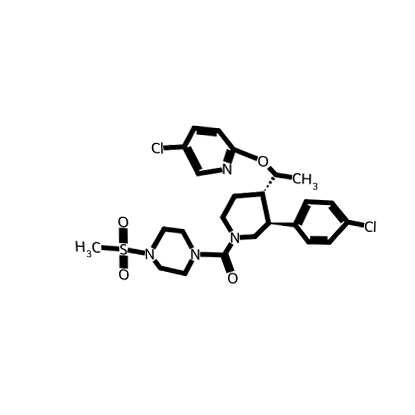 CC(Oc1ccc(Cl)cn1)[C@H]1CCN(C(=O)N2CCN(S(C)(=O)=O)CC2)C[C@@H]1c1ccc(Cl)cc1